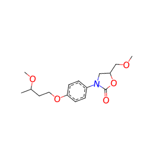 COCC1CN(c2ccc(OCCC(C)OC)cc2)C(=O)O1